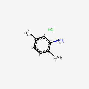 COc1ccc(C)cc1N.Cl